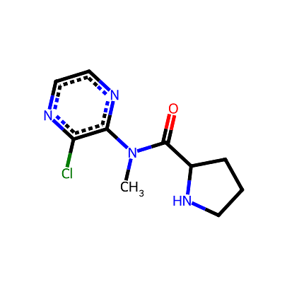 CN(C(=O)C1CCCN1)c1nccnc1Cl